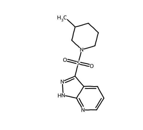 CC1CCCN(S(=O)(=O)c2n[nH]c3ncccc23)C1